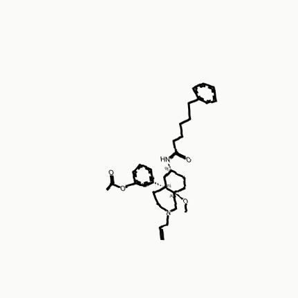 C=CCN1CC[C@@]2(c3cccc(OC(C)=O)c3)C[C@H](NC(=O)CCCCCc3ccccc3)CC[C@]2(OC)C1